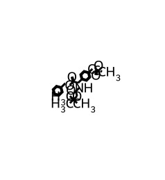 CC(C)(C)OC(=O)NC(C(=O)OCc1ccccc1)c1ccc(OS(C)(=O)=O)cc1